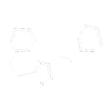 c1ccc(CSc2nnc3n2-c2ccccc2CC3)cc1